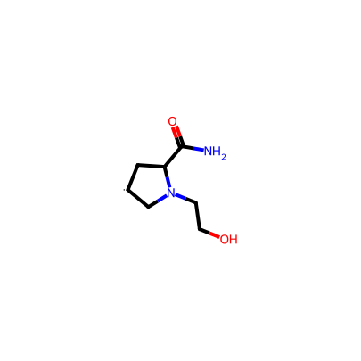 NC(=O)C1C[CH]CN1CCO